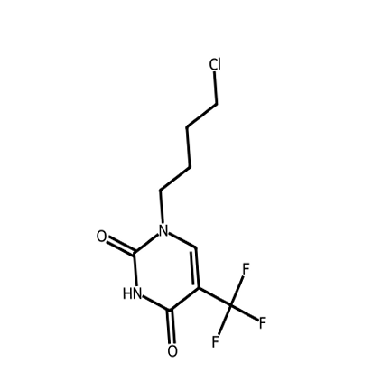 O=c1[nH]c(=O)n(CCCCCl)cc1C(F)(F)F